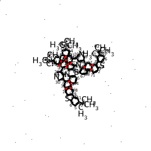 CC(C)(C)c1ccc2sc3ccc(-c4ccc5c(c4)N(C4=C(c6ccccc6)C=NCC4c4ccccc4)c4cc(-n6c7ccc([Si](C)(C)C)cc7c7cc([Si](C)(C)C)ccc76)cc6c4B5c4ccc(-c5ccc7sc8ccc(C(C)(C)C)cc8c7c5)cc4N6c4c(-c5ccccc5)cncc4-c4ccccc4)cc3c2c1